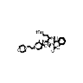 CC(C)(C)CCC(Nc1nc(=O)oc2ccccc12)C(=O)NC1(C#N)CCN(CCN2CCOCC2)CC1